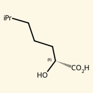 CC(C)CCC[C@@H](O)C(=O)O